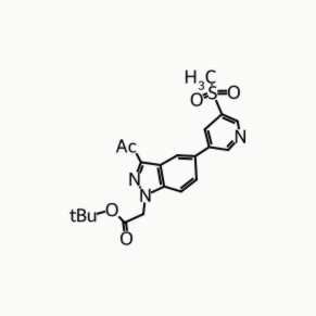 CC(=O)c1nn(CC(=O)OC(C)(C)C)c2ccc(-c3cncc(S(C)(=O)=O)c3)cc12